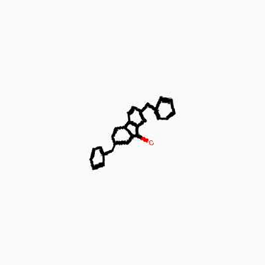 O=C1c2cc(Cc3ccccc3)ccc2C2C=CC(Cc3ccccc3)=CC12